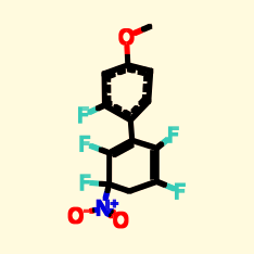 COc1ccc(C2=C(F)C(F)([N+](=O)[O-])CC(F)=C2F)c(F)c1